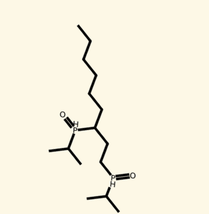 CCCCCCC(CC[PH](=O)C(C)C)[PH](=O)C(C)C